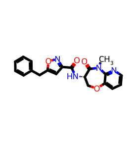 CN1C(=O)[C@@H](NC(=O)c2cc(Cc3ccccc3)on2)COc2cccnc21